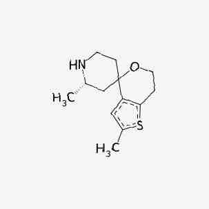 Cc1cc2c(s1)CCOC21CCN[C@@H](C)C1